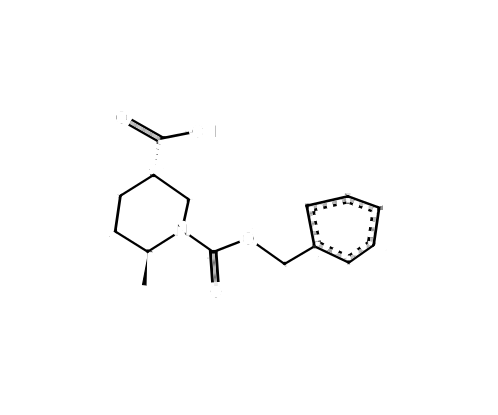 C[C@H]1CC[C@H](C(=O)O)CN1C(=O)OCc1ccccc1